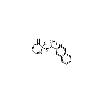 CC(SC1(Cl)N=CC=CN1)c1cc2ccccc2cn1